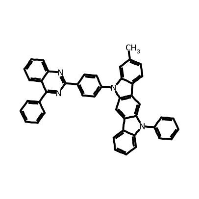 Cc1ccc2c3cc4c(cc3n(-c3ccc(-c5nc(-c6ccccc6)c6ccccc6n5)cc3)c2c1)c1ccccc1n4-c1ccccc1